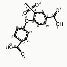 CS(=O)(=O)c1cc(C(=O)O)ccc1Oc1ccc(C(=O)O)cc1